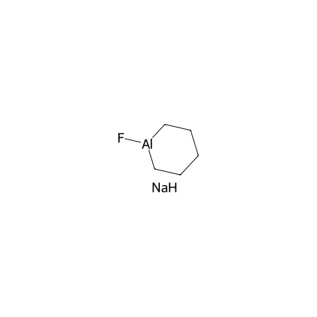 [F][Al]1[CH2]CCC[CH2]1.[NaH]